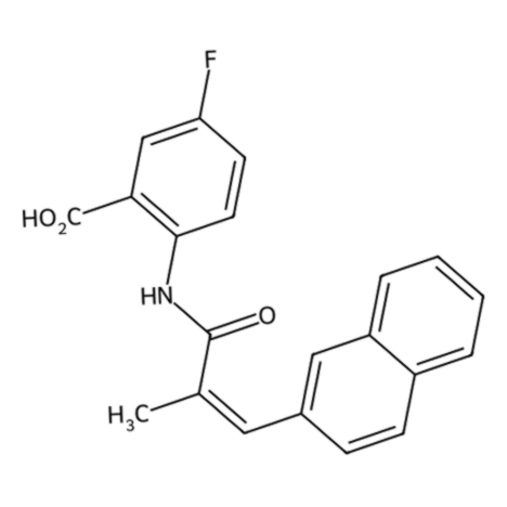 CC(=Cc1ccc2ccccc2c1)C(=O)Nc1ccc(F)cc1C(=O)O